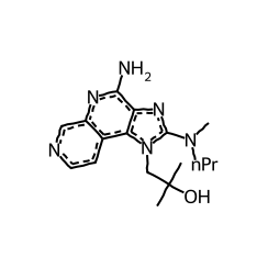 CCCN(C)c1nc2c(N)nc3cnccc3c2n1CC(C)(C)O